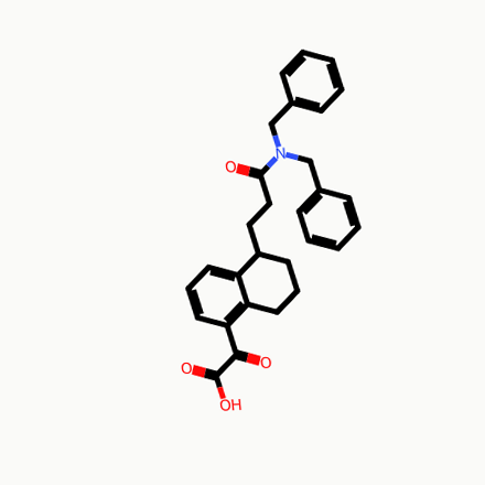 O=C(O)C(=O)c1cccc2c1CCCC2CCC(=O)N(Cc1ccccc1)Cc1ccccc1